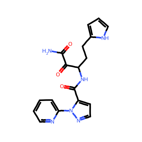 NC(=O)C(=O)C(CCc1ccc[nH]1)NC(=O)c1ccnn1-c1ccccn1